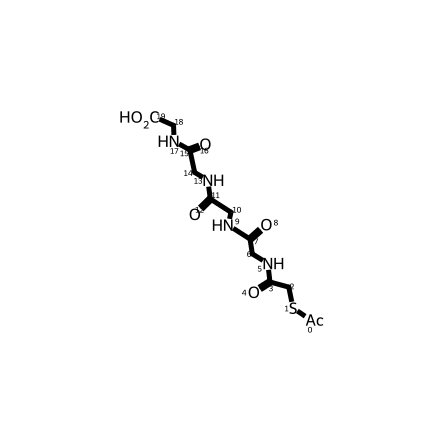 CC(=O)SCC(=O)NCC(=O)NCC(=O)NCC(=O)NCC(=O)O